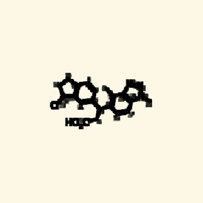 Cc1c(C(CC(=O)O)c2ccc3c(c2)C(Cl)CC3)ccc2c1nnn2C